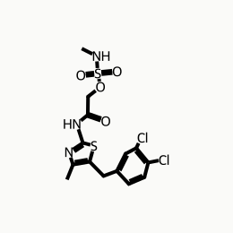 CNS(=O)(=O)OCC(=O)Nc1nc(C)c(Cc2ccc(Cl)c(Cl)c2)s1